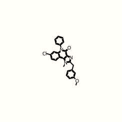 COc1cccc(Cc2nc3c(=O)n(-c4ccccc4)c4cc(Cl)ccc4c3n2C)c1